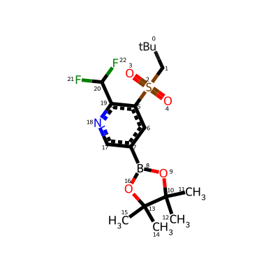 CC(C)(C)CS(=O)(=O)c1cc(B2OC(C)(C)C(C)(C)O2)cnc1C(F)F